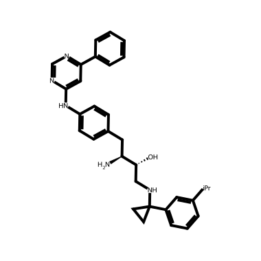 CC(C)c1cccc(C2(NC[C@@H](O)[C@@H](N)Cc3ccc(Nc4cc(-c5ccccc5)ncn4)cc3)CC2)c1